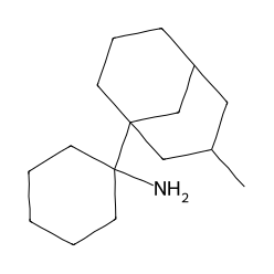 CC1CC2CCCC(C3(N)CCCCC3)(C1)C2